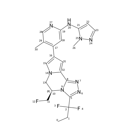 CCC(F)(F)c1nnc2n1[C@@H](CF)Cn1cc(-c3cc(Nc4ccnn4C)ncc3C)cc1-2